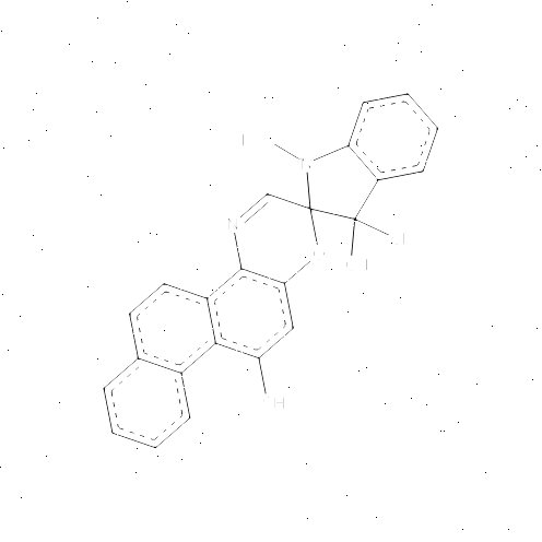 Cc1cc2c(c3ccc4ccccc4c13)N=CC1(O2)N(C)c2ccccc2C1(C)C